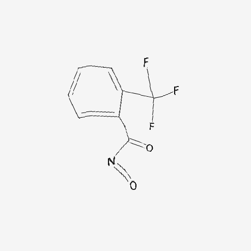 O=NC(=O)c1ccccc1C(F)(F)F